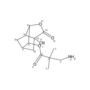 CC(C)(CN)C(=O)OC1C2CC3C1OC(=O)C3(C#N)C2